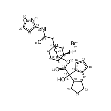 O=C(C[N+]12CCC(CC1)[C@@H](OC(=O)C(O)(c1cccs1)C1CCCC1)C2)Nc1ccon1.[Br-]